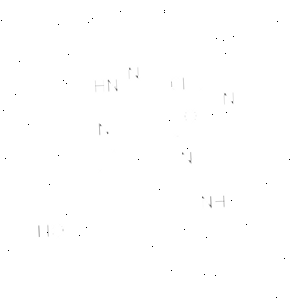 Cc1n[nH]c2nc(-c3ccc(O)cc3)cc(C(=O)N3CCNCC3c3cccnc3)c12